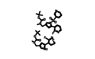 CN(Cc1c[nH]c(-c2cccnc2F)c1)C(=O)OC(C)(C)C.CN(Cc1cc(-c2cccnc2F)n(S(=O)(=O)c2cccnc2)c1)C(=O)OC(C)(C)C